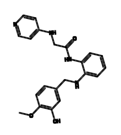 COc1ccc(CNc2ccccc2NC(=O)CNc2ccncc2)cc1O